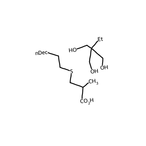 CCC(CO)(CO)CO.CCCCCCCCCCCCSCC(C)C(=O)O